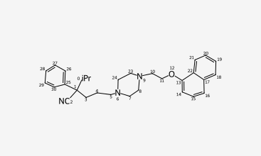 CC(C)C(C#N)(CCCN1CCN(CCOc2cccc3ccccc23)CC1)c1ccccc1